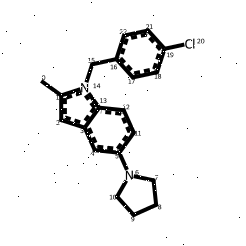 Cc1cc2cc(N3CCCC3)ccc2n1Cc1ccc(Cl)cc1